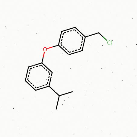 CC(C)c1cccc(Oc2ccc(CCl)cc2)c1